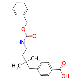 CC(C)(CCNC(=O)OCc1ccccc1)Cc1ccc(C(=O)O)cc1